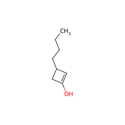 CCCCC1C=C(O)C1